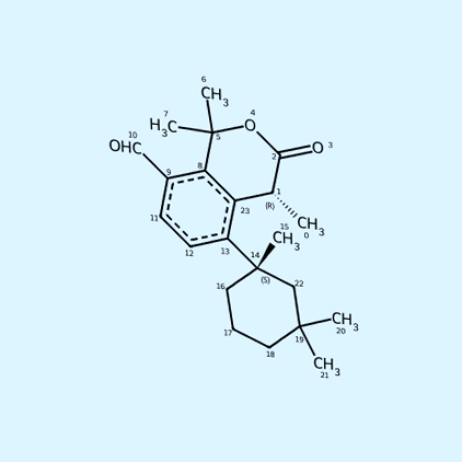 C[C@H]1C(=O)OC(C)(C)c2c(C=O)ccc([C@@]3(C)CCCC(C)(C)C3)c21